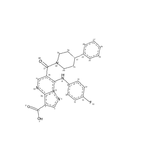 O=C(O)c1cnn2c(Nc3ccc(F)cc3)c(C(=O)N3CCC(c4ccccc4)CC3)cnc12